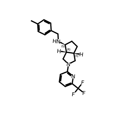 Cc1ccc(CN[C@H]2CC[C@@H]3CN(c4cccc(C(F)(F)F)n4)C[C@@H]32)cc1